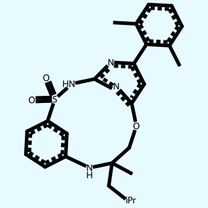 Cc1cccc(C)c1-c1cc2nc(n1)NS(=O)(=O)c1cccc(c1)NC(C)(CC(C)C)CO2